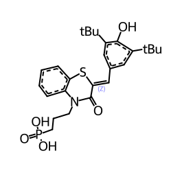 CC(C)(C)c1cc(/C=C2\Sc3ccccc3N(CCCP(=O)(O)O)C2=O)cc(C(C)(C)C)c1O